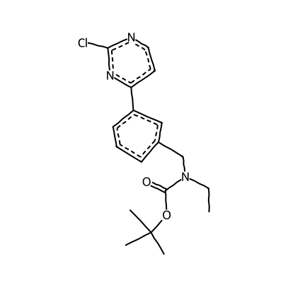 CCN(Cc1cccc(-c2ccnc(Cl)n2)c1)C(=O)OC(C)(C)C